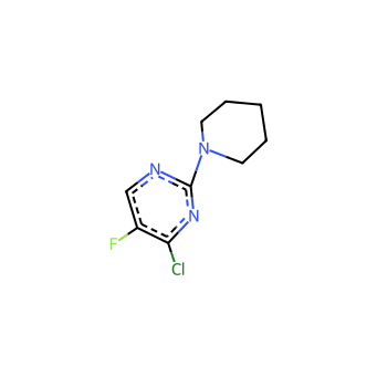 Fc1cnc(N2CCCCC2)nc1Cl